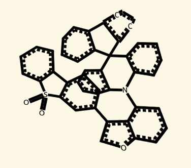 O=S1(=O)c2ccccc2-c2ccc(-c3coc4cccc(N5c6ccccc6C6(c7ccccc7-c7ccccc76)c6ccccc65)c34)cc21